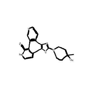 CC1(O)CCN(c2nc3c4ccncc4c4c(=O)[nH]ccc4c3o2)CC1